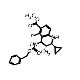 COC(=O)c1ccc2c(c1F)C(NC(=O)OCc1ccccc1)[C@@H](C)[C@H](C1CC1)N2